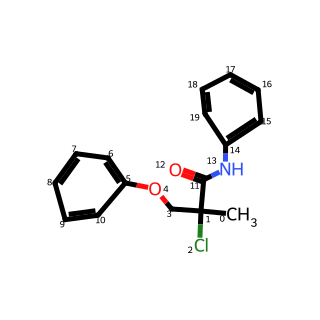 CC(Cl)(COc1ccccc1)C(=O)Nc1ccccc1